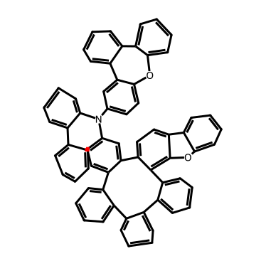 c1ccc(-c2ccccc2N(c2ccc3c(c2)-c2ccccc2-c2ccccc2O3)c2ccc3c4ccccc4c4ccccc4c4ccccc4c4c(ccc5c6ccccc6oc54)c3c2)cc1